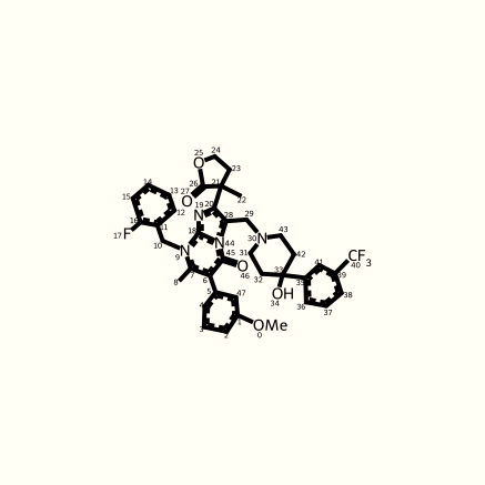 COc1cccc(-c2c(C)n(Cc3ccccc3F)c3nc(C4(C)CCOC4=O)c(CN4CCC(O)(c5cccc(C(F)(F)F)c5)CC4)n3c2=O)c1